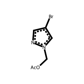 CC(=O)OCn1cc(Br)cn1